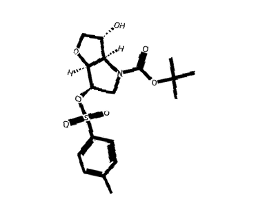 Cc1ccc(S(=O)(=O)O[C@@H]2CN(C(=O)OC(C)(C)C)[C@H]3[C@@H]2OC[C@@H]3O)cc1